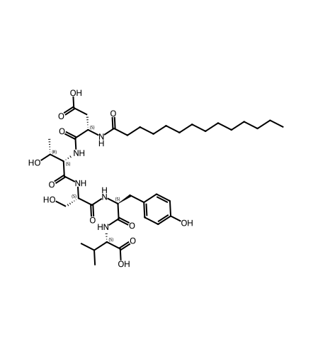 CCCCCCCCCCCCCC(=O)N[C@@H](CC(=O)O)C(=O)N[C@H](C(=O)N[C@@H](CO)C(=O)N[C@@H](Cc1ccc(O)cc1)C(=O)N[C@H](C(=O)O)C(C)C)[C@@H](C)O